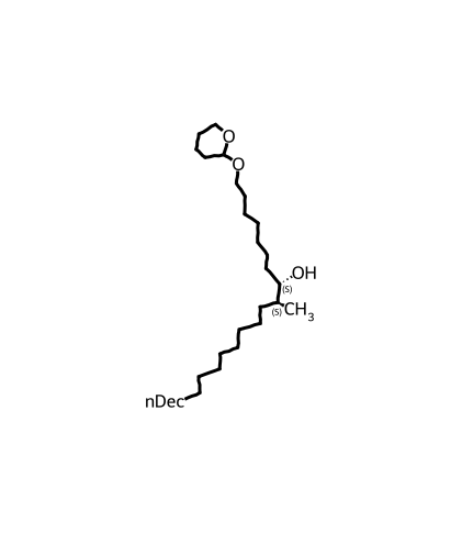 CCCCCCCCCCCCCCCCCC[C@H](C)[C@@H](O)CCCCCCCOC1CCCCO1